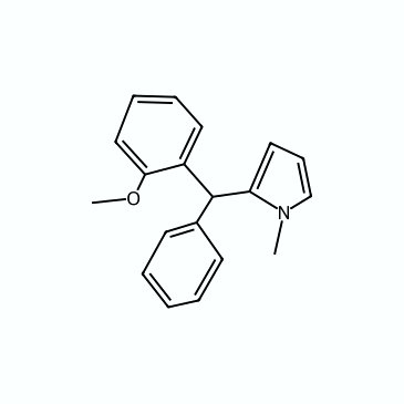 COc1ccccc1C(c1ccccc1)c1cccn1C